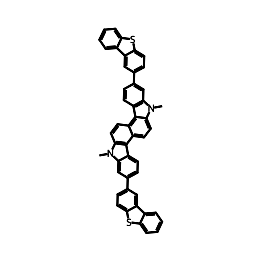 Cn1c2cc(-c3ccc4sc5ccccc5c4c3)ccc2c2c3ccc4c(c3ccc21)c1ccc(-c2ccc3sc5ccccc5c3c2)cc1n4C